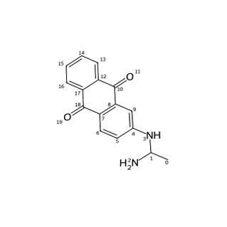 CC(N)Nc1ccc2c(c1)C(=O)c1ccccc1C2=O